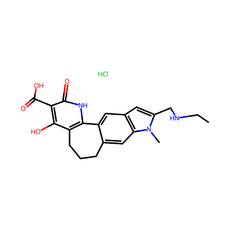 CCNCc1cc2cc3c(cc2n1C)CCCc1c-3[nH]c(=O)c(C(=O)O)c1O.Cl